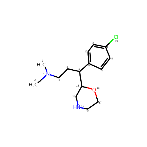 CN(C)CCC(c1ccc(Cl)cc1)C1CNCCO1